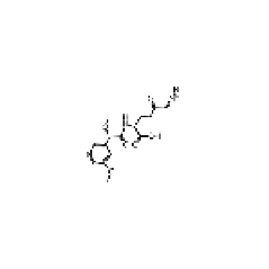 COc1cncc([C@@H](OC)C(=O)N[C@@H](CCC(=O)C=[N+]=[N-])C(=O)O)c1